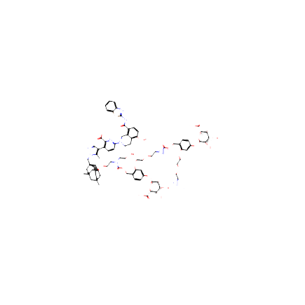 COCCN(CCOC12CC3(C)CC(C)(CC(Cn4ncc(-c5ccc(N6CCc7c(OC)ccc(C(=O)Nc8nc9ccccc9s8)c7C6)nc5C(=O)O)c4C)(C3)C1)C2)C(=O)OCc1ccc(O[C@@H]2O[C@H](C(=O)O)[C@@H](O)[C@H](O)[C@H]2O)cc1OCCOCCNC(=O)OCc1ccc(O[C@@H]2O[C@H](C(=O)O)[C@@H](O)[C@H](O)[C@H]2O)cc1OCCOCCN